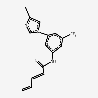 C=CC=CC(=O)Nc1cc(-n2cnc(C)c2)cc(C(F)(F)F)c1